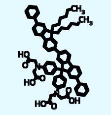 CCCCCCC1(CCCCCC)c2cc(-c3ccccc3)ccc2-c2ccc(-c3ccc4c(c3)C(c3ccc(N(CC(=O)O)CC(=O)O)cc3)(c3ccc(N(CC(=O)O)CC(=O)O)cc3)c3cc(-c5ccccc5)ccc3-4)cc21